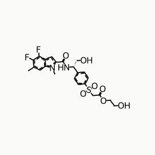 Cc1cc2c(cc(C(=O)N[C@H](CO)c3ccc(S(=O)(=O)CC(=O)OCCO)cc3)n2C)c(F)c1F